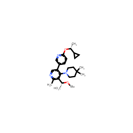 Cc1ncc(-c2ccc(O[C@H](C)C3CC3)nc2)c(N2CCC(C)(C)CC2)c1[C@H](OC(C)(C)C)C(=O)O